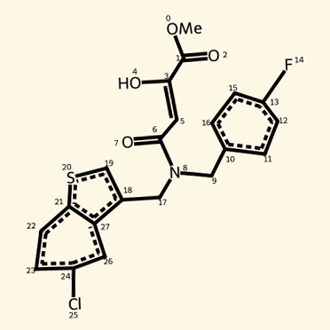 COC(=O)C(O)=CC(=O)N(Cc1ccc(F)cc1)Cc1csc2ccc(Cl)cc12